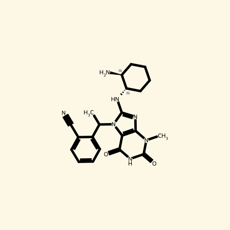 CC(c1ccccc1C#N)n1c(N[C@H]2CCCC[C@@H]2N)nc2c1c(=O)[nH]c(=O)n2C